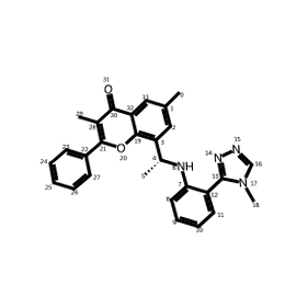 Cc1cc([C@@H](C)Nc2ccccc2-c2nncn2C)c2oc(-c3ccccc3)c(C)c(=O)c2c1